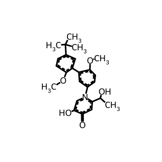 COc1ccc(-n2cc(O)c(=O)cc2C(C)O)cc1-c1cc(C(C)(C)C)ccc1OC